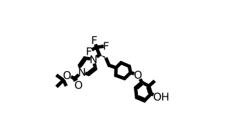 Cc1c(O)cccc1OC1CCC(CC[C@H](N2C=CN(C(=O)OC(C)(C)C)C=C2)C(F)(F)F)CC1